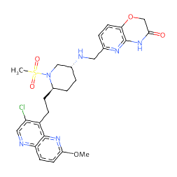 COc1ccc2ncc(Cl)c(CC[C@@H]3CC[C@@H](NCc4ccc5c(n4)NC(=O)CO5)CN3S(C)(=O)=O)c2n1